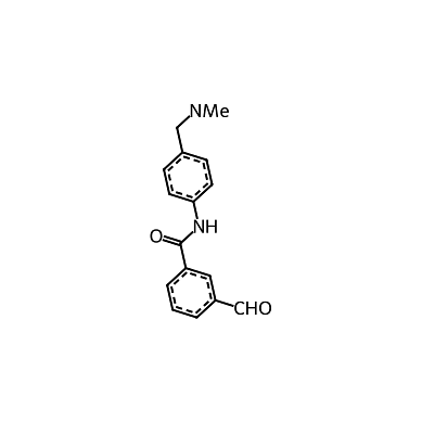 CNCc1ccc(NC(=O)c2cccc(C=O)c2)cc1